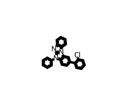 Clc1ccccc1-c1ccc2c(c1)n1c3ccccc3nc1n2-c1ccccc1